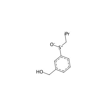 CC(C)C[S+]([O-])c1cccc(CO)c1